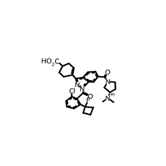 CN(C)[C@@H]1CCN(C(=O)c2ccc3c(C4=CCC(C(=O)O)CC4)nn(C(=O)c4c(Cl)cccc4C4(F)CCC4)c3c2)C1